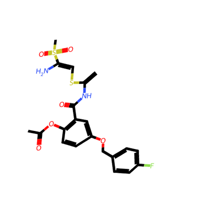 C=C(NC(=O)c1cc(OCc2ccc(F)cc2)ccc1OC(C)=O)S/C=C(\N)S(C)(=O)=O